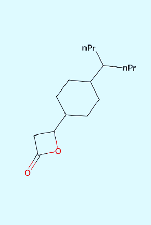 CCCC(CCC)C1CCC(C2CC(=O)O2)CC1